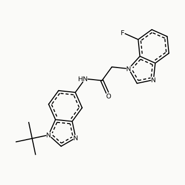 CC(C)(C)n1cnc2cc(NC(=O)Cn3cnc4cccc(F)c43)ccc21